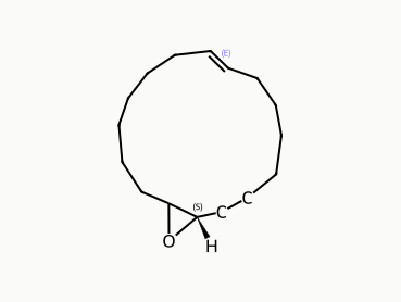 C1=C/CCCCCC[C@@H]2OC2CCCCCC/1